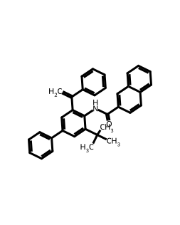 C=C(c1ccccc1)c1cc(-c2ccccc2)cc(C(C)(C)C)c1NC(=O)c1ccc2ccccc2c1